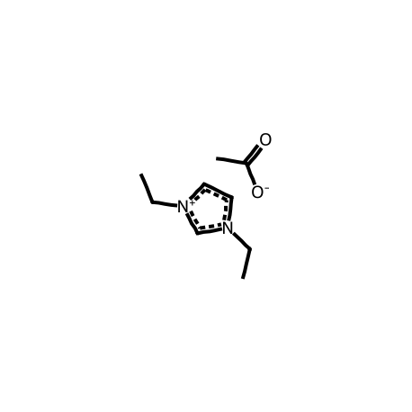 CC(=O)[O-].CCn1cc[n+](CC)c1